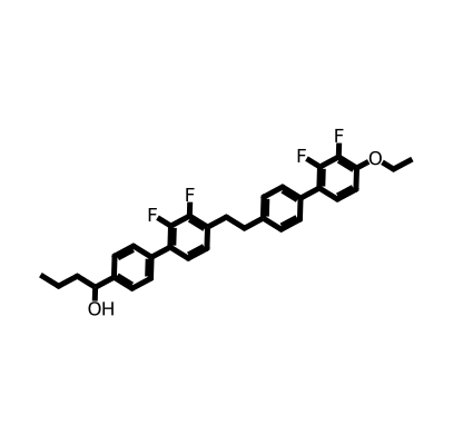 CCCC(O)c1ccc(-c2ccc(CCc3ccc(-c4ccc(OCC)c(F)c4F)cc3)c(F)c2F)cc1